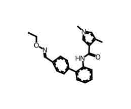 CCO/N=C/c1ccc(-c2ccccc2NC(=O)c2cn(C)cc2C)cc1